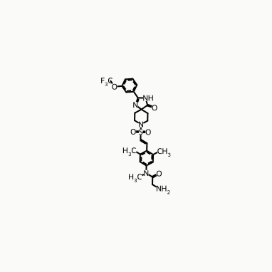 Cc1cc(N(C)C(=O)CN)cc(C)c1/C=C/S(=O)(=O)N1CCC2(CC1)N=C(c1cccc(OC(F)(F)F)c1)NC2=O